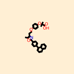 Cc1oc(-c2ccc(-c3cccc4ccccc34)cc2)nc1CCOc1ccc(OC(C)(C)C(=O)O)cc1